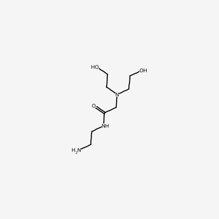 NCCNC(=O)CN(CCO)CCO